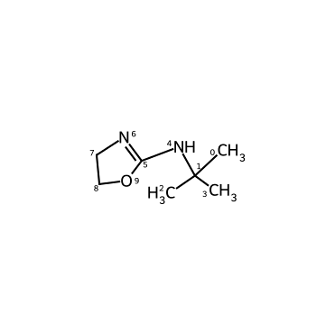 CC(C)(C)NC1=NCCO1